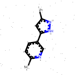 CC(C)c1cc(-c2ccc(C#N)nc2)[nH]n1